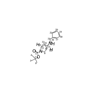 CC(C)(C)OC(=O)N1C[C@H]2C[C@@H]1C[C@H]2NCc1ccccc1